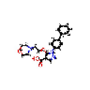 O=C(O)c1cnn(-c2ccc(-c3ccccc3)cc2)c1OCCN1CCOCC1